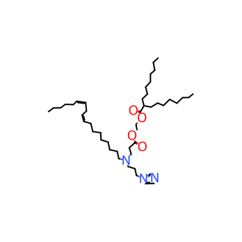 CCCCC/C=C\C/C=C\CCCCCCCCN(CCCn1ccnc1)CCC(=O)OCCOC(=O)C(CCCCCCCC)CCCCCCCC